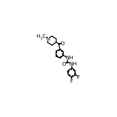 CN1CCC(C(=O)c2cccc(NC(=O)Nc3ccc(F)c(F)c3)c2)CC1